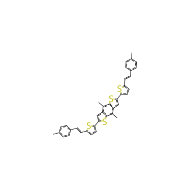 Cc1ccc(C=Cc2ccc(-c3cc4c(C)c5sc(-c6ccc(C=Cc7ccc(C)cc7)s6)cc5c(C)c4s3)s2)cc1